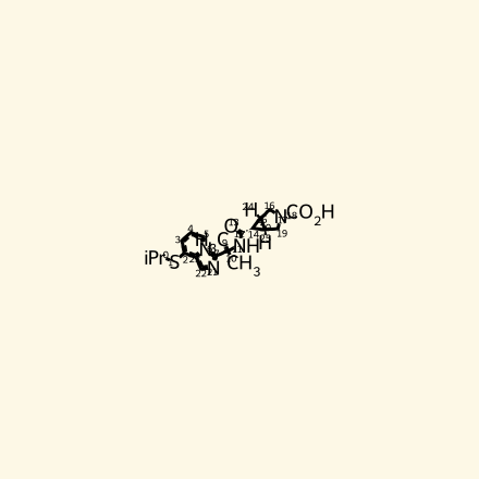 CC(C)Sc1cccn2c(C(C)(C)NC(=O)[C@@H]3[C@@H]4CN(C(=O)O)C[C@@H]43)ncc12